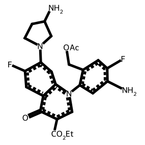 CCOC(=O)c1cn(-c2cc(N)c(F)cc2COC(C)=O)c2cc(N3CCC(N)C3)c(F)cc2c1=O